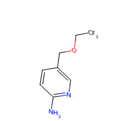 Nc1ccc(COCC(F)(F)F)cn1